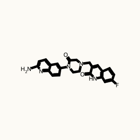 Nc1ccc2cc(N3CCN(Cc4cc5ccc(F)cc5[nH]c4=O)CC3=O)ccc2n1